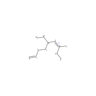 C=CCCC(/C=C(/C)CC)CC